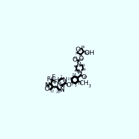 Cc1cc(Oc2nccn3c(-c4conc4C(F)(F)F)cnc23)ccc1C(=O)N1CCN(C(=O)O[C@@H]2COC[C@H]2O)CC1